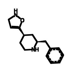 C1=C([C@@H]2CCN[C@H](Cc3ccccc3)C2)ONC1